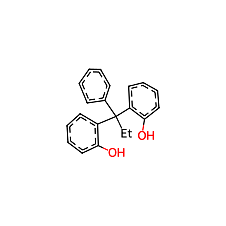 CCC(c1ccccc1)(c1ccccc1O)c1ccccc1O